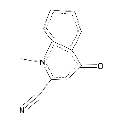 Cn1c(C#N)cc(=O)c2ccccc21